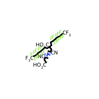 CC(C#N)(CCC(=O)O)N=NC(C)(C#N)CC(CCC(F)(F)C(F)(F)C(F)(F)C(F)(F)C(F)(F)C(F)(F)F)(CCC(F)(F)C(F)(F)C(F)(F)C(F)(F)C(F)(F)C(F)(F)F)C(=O)O